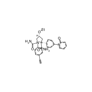 C#Cc1ccc([N+]2(C(N)=O)C[C@H](OCC)C[C@]2(C(N)=O)c2ccc(-n3ccccc3=O)cc2)cc1